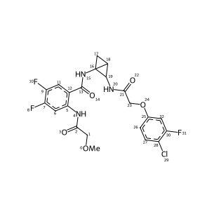 COCC(=O)Nc1cc(F)c(F)cc1C(=O)NC12CC1C2NC(=O)COc1ccc(Cl)c(F)c1